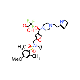 COc1cc(C)c(S(=O)(=O)N(Cc2cc(C(=O)N3CCN(CCc4ccccn4)CC3)co2)C2CC2)c(C)c1.O=C(O)C(F)(F)F